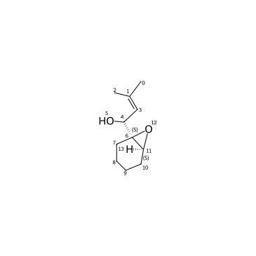 CC(C)=CC(O)[C@@]12CCCC[C@@H]1O2